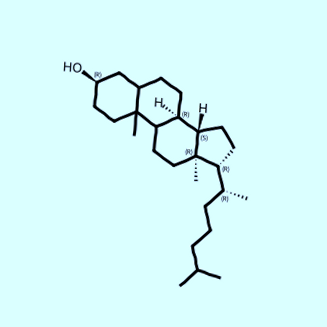 CC(C)CCC[C@@H](C)[C@H]1CC[C@H]2[C@@H]3CCC4C[C@H](O)CCC4(C)C3CC[C@]12C